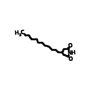 CCCCCCCCCCCCC1CC(=O)NC(=O)C1